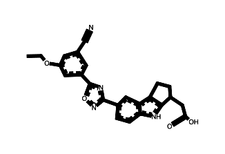 CCOc1cc(C#N)cc(-c2nc(-c3ccc4[nH]c5c(c4c3)CCC5CC(=O)O)no2)c1